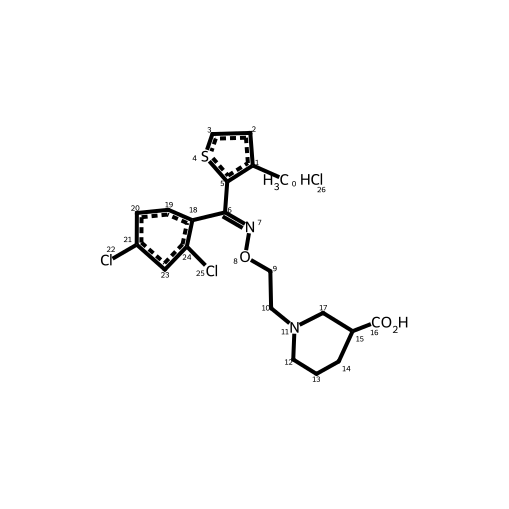 Cc1ccsc1C(=NOCCN1CCCC(C(=O)O)C1)c1ccc(Cl)cc1Cl.Cl